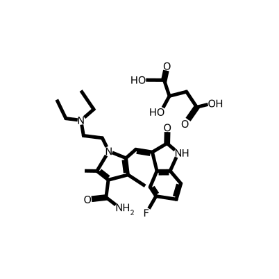 CCN(CC)CCn1c(C)c(C(N)=O)c(C)c1C=C1C(=O)Nc2ccc(F)cc21.O=C(O)CC(O)C(=O)O